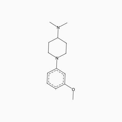 COc1[c]ccc(N2CCC(N(C)C)CC2)c1